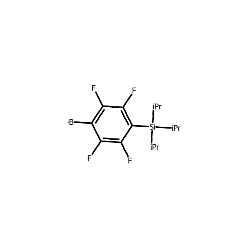 [B]c1c(F)c(F)c([Si](C(C)C)(C(C)C)C(C)C)c(F)c1F